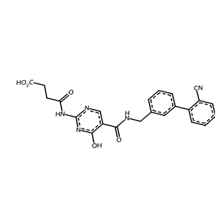 N#Cc1ccccc1-c1cccc(CNC(=O)c2cnc(NC(=O)CCC(=O)O)nc2O)c1